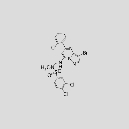 CN(CNc1cc(-c2ccccc2Cl)nc2c(Br)cnn12)S(=O)(=O)c1ccc(Cl)c(Cl)c1